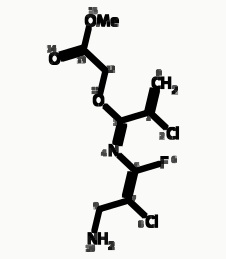 C=C(Cl)/C(=N\C(F)=C(\Cl)CN)OCC(=O)OC